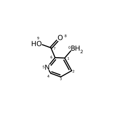 Bc1cccnc1C(=O)O